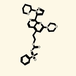 CS(=O)(=NC(=O)OCCc1cc(N2CCOCC2)nc2c(-c3ccnn3C3CCCCO3)nccc12)c1ccccc1